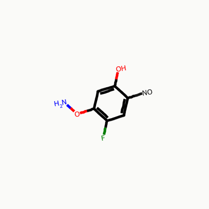 NOc1cc(O)c(N=O)cc1F